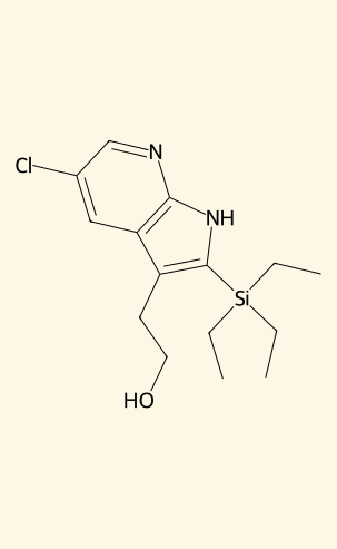 CC[Si](CC)(CC)c1[nH]c2ncc(Cl)cc2c1CCO